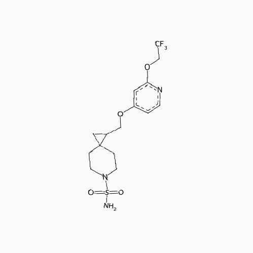 NS(=O)(=O)N1CCC2(CC1)CC2COc1ccnc(OCC(F)(F)F)c1